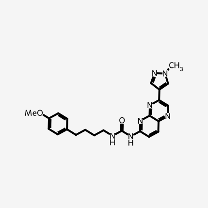 COc1ccc(CCCCNC(=O)Nc2ccc3ncc(-c4cnn(C)c4)nc3n2)cc1